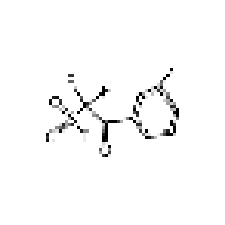 Cc1cccc(C(=O)C(F)(F)S(=O)(=O)F)c1